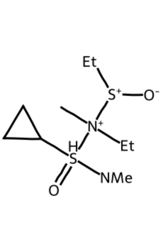 CC[S+]([O-])[N+](C)(CC)[SH](=O)(NC)C1CC1